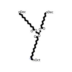 CCCCCCCC/C=C\CCCCCCCCCC(=O)O[C@H](COC(=O)CCCCCCCCCCCCCCCCC)COC(=O)CCCCCCCCCCCCCCCCCCCC